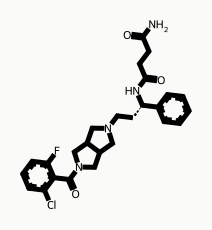 NC(=O)CCC(=O)N[C@@H](CCN1CC2CN(C(=O)c3c(F)cccc3Cl)CC2C1)c1ccccc1